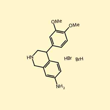 Br.Br.COc1ccc(C2CNCc3cc(N)ccc32)cc1OC